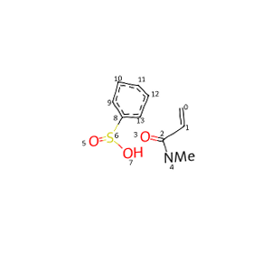 C=CC(=O)NC.O=S(O)c1ccccc1